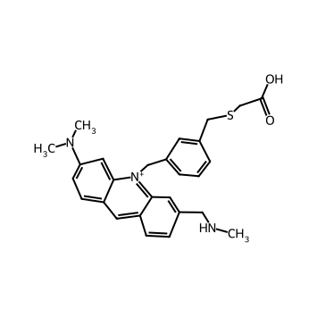 CNCc1ccc2cc3ccc(N(C)C)cc3[n+](Cc3cccc(CSCC(=O)O)c3)c2c1